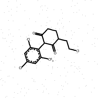 O=C1CCC(CCCl)C(=O)C1c1c(Cl)cc(Cl)cc1C(F)(F)F